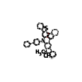 CC1(C)c2ccccc2-c2cc(-c3ccc4c(c3)CCCC4)c(N(c3ccc(-c4ccccc4)cc3)c3ccc4sc5ccccc5c4c3)cc21